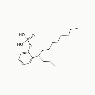 CCCCCCCCC(CCC)c1ccccc1OP(=O)(O)O